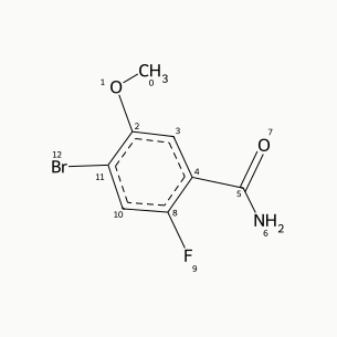 COc1cc(C(N)=O)c(F)cc1Br